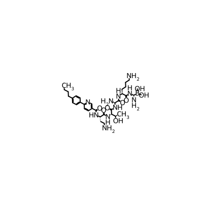 CCCCc1ccc(-c2ccc(C(=O)N[C@@H](CCN)C(=O)N[C@H](C(=O)N[C@@H](N)C(=O)N[C@@H](CCCCN)C(=O)N[C@@H](N)B(O)O)[C@@H](C)O)cn2)cc1